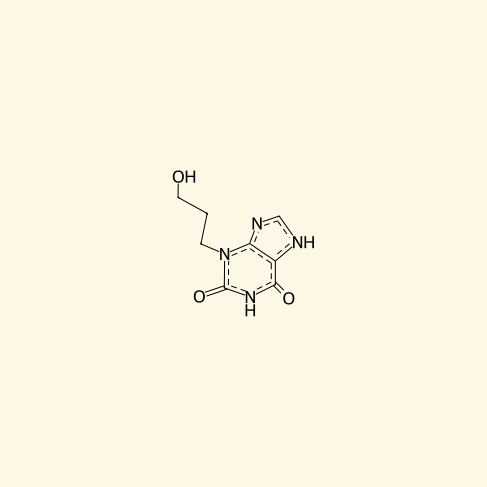 O=c1[nH]c(=O)n(CCCO)c2nc[nH]c12